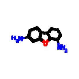 Nc1ccc2c(c1)oc1c(N)cccc12